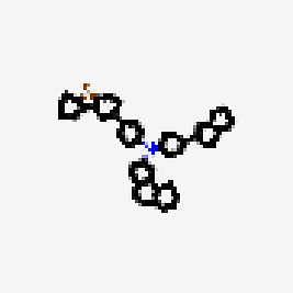 c1ccc2cc(-c3ccc(N(c4ccc(-c5ccc6sc7ccccc7c6c5)cc4)c4ccc5ccc6ccccc6c5c4)cc3)ccc2c1